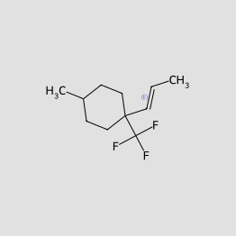 C/C=C/C1(C(F)(F)F)CCC(C)CC1